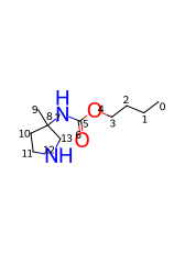 CCCCOC(=O)NC1(C)CCNC1